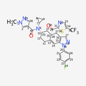 Cn1cc(C(=O)N(C2CC2)[C@H]2CCC3=Cc4c(cnn4-c4ccc(F)cc4)C[C@]3(C(=O)c3ncc(C(F)(F)F)s3)C2)cn1